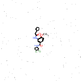 COc1ccc(C(=O)Nc2ccc(Cl)c(Cl)c2)cc1NC(=O)CC1CCCC1